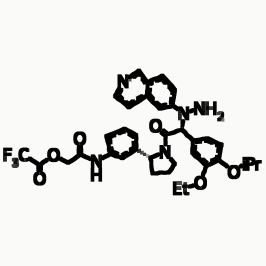 CCOc1cc([C@@H](C(=O)N2CCC[C@@H]2c2cccc(NC(=O)COC(=O)C(F)(F)F)c2)N(N)c2ccc3cnccc3c2)ccc1OC(C)C